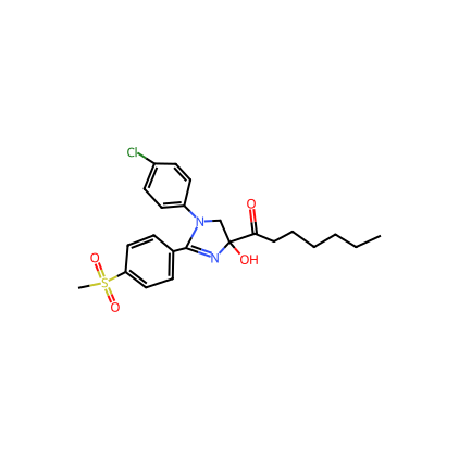 CCCCCCC(=O)C1(O)CN(c2ccc(Cl)cc2)C(c2ccc(S(C)(=O)=O)cc2)=N1